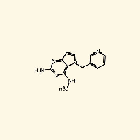 CCCCNc1nc(N)nc2ccn(Cc3cccnc3)c12